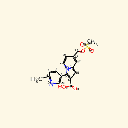 Cc1ccc(-c2c(C(=O)O)cc3cc(COS(C)(=O)=O)ccn23)cn1